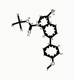 COc1ccc(-c2ccc3c(Br)cn(C(=O)OC(C)(C)C)c3c2)cc1